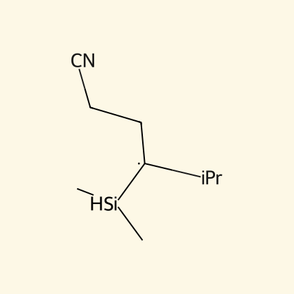 CC(C)[C](CCC#N)[SiH](C)C